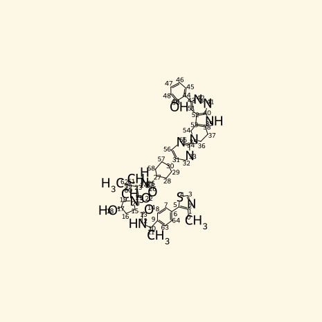 Cc1ncsc1-c1ccc([C@H](C)NC(=O)[C@@H]2C[C@@H](O)CN2C(=O)[C@@H](NC(=O)[C@H]2CC[C@@H](c3cnc(N4CCc5[nH]c6nnc(-c7ccccc7O)cc6c5C4)nc3)CC2)C(C)(C)C)cc1